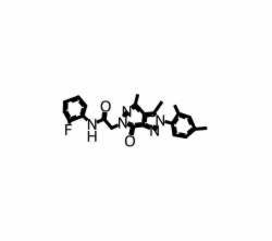 Cc1ccc(-n2nc3c(=O)n(CC(=O)Nc4ccccc4F)nc(C)c3c2C)c(C)c1